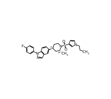 CCCn1ccc(S(=O)(=O)N2CC[C@H](c3ccc4c(cnn4-c4ccc(F)cc4)c3)C[C@H]2C)c1